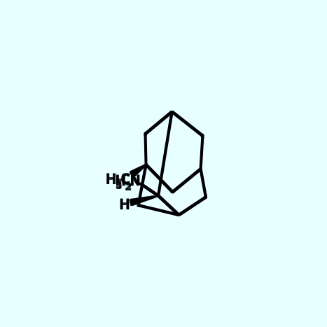 C[C@]12CC3CC(C1)[C@@H](N)C(C3)C2